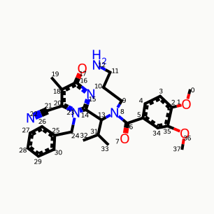 COc1ccc(C(=O)N(CCCN)C(c2nc(=O)c(C)c(C#N)n2Cc2ccccc2)C(C)C)cc1OC